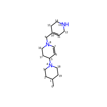 CC1CCN(C2C=CN(CC3=CCNCC3)CC2)CC1